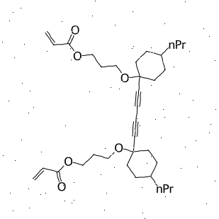 C=CC(=O)OCCCOC1(C#CC#CC2(OCCCOC(=O)C=C)CCC(CCC)CC2)CCC(CCC)CC1